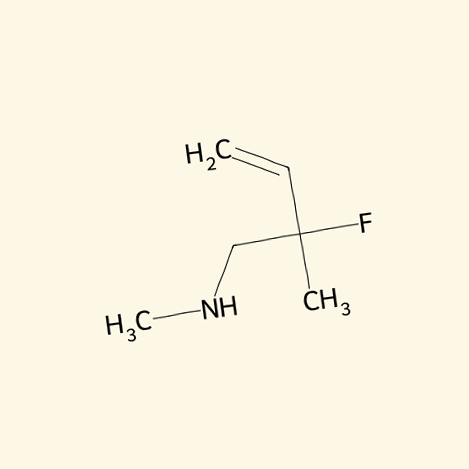 C=CC(C)(F)CNC